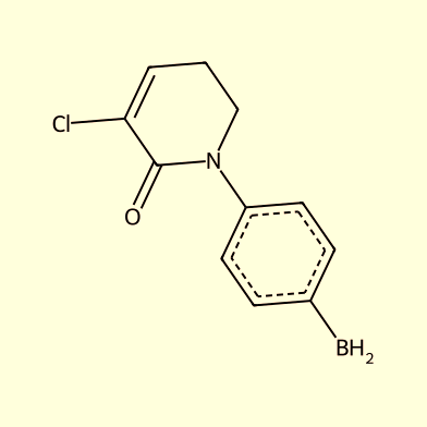 Bc1ccc(N2CCC=C(Cl)C2=O)cc1